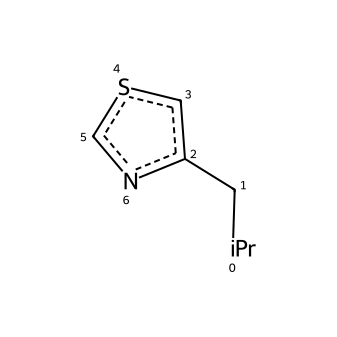 CC(C)Cc1cscn1